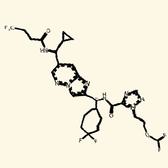 O=C(CCC(F)(F)F)NC(c1cnn2cc([C@@H](NC(=O)c3ncnn3CCOC(F)F)C3CCC(F)(F)CC3)nc2c1)C1CC1